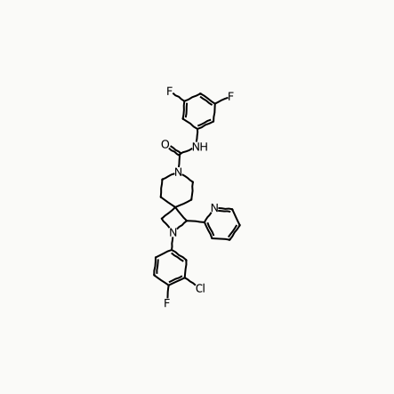 O=C(Nc1cc(F)cc(F)c1)N1CCC2(CC1)CN(c1ccc(F)c(Cl)c1)C2c1ccccn1